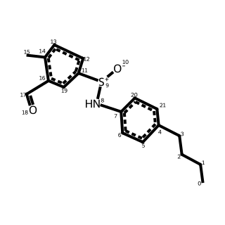 CCCCc1ccc(N[S+]([O-])c2ccc(C)c(C=O)c2)cc1